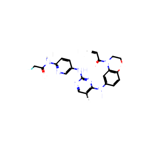 C=CC(=O)N1CCOc2ccc(Nc3nc(Nc4ccc(N(C)C(=O)CF)nc4)ncc3C(C)=O)cc21